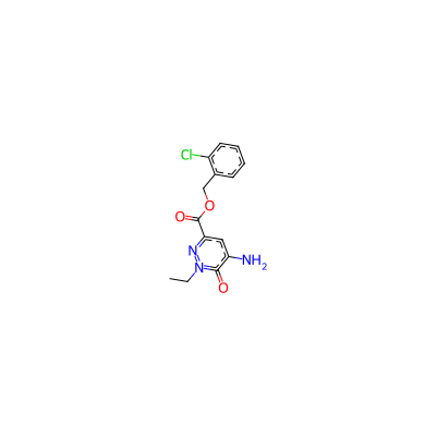 CCn1nc(C(=O)OCc2ccccc2Cl)cc(N)c1=O